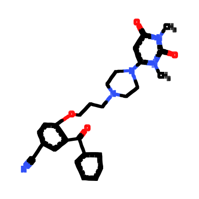 Cn1c(N2CCN(CCCOc3ccc(C#N)cc3C(=O)c3ccccc3)CC2)cc(=O)n(C)c1=O